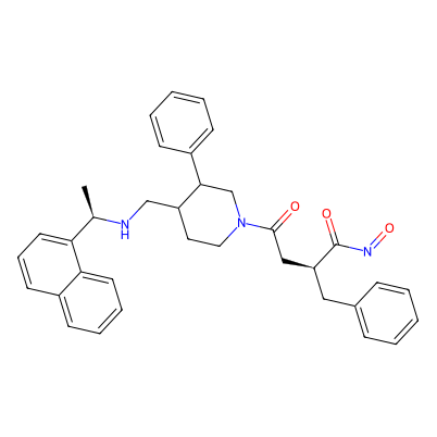 C[C@@H](NCC1CCN(C(=O)C[C@H](Cc2ccccc2)C(=O)N=O)CC1c1ccccc1)c1cccc2ccccc12